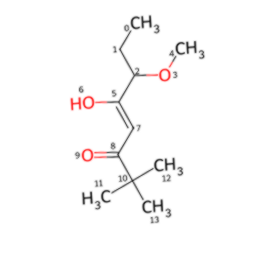 CCC(OC)/C(O)=C/C(=O)C(C)(C)C